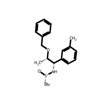 Cc1cccc([C@H](N[S@@+]([O-])C(C)(C)C)[C@H](C)OCc2ccccc2)c1